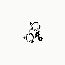 c1ccc(-c2cc(CN3CCCNCCNCCCNCC3)ccc2CN2CCCNCCNCCCNCC2)cc1